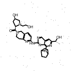 C[C@@H](O)c1cc2cnc(Nc3ccc4c(n3)CCN(C(=O)[C@H]3C[C@@H](O)CN3CCO)C4)nc2c(N2C3CCC2CC3)n1